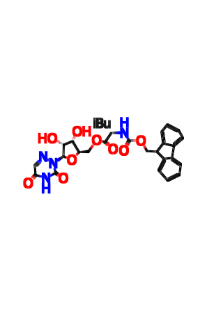 CC[C@H](C)[C@@H](NC(=O)OCC1c2ccccc2-c2ccccc21)C(=O)OC[C@H]1O[C@@H](n2ncc(=O)[nH]c2=O)[C@H](O)[C@@H]1O